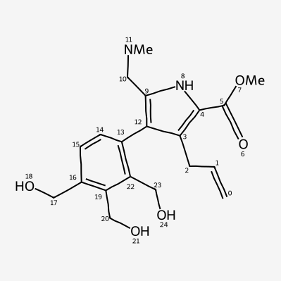 C=CCc1c(C(=O)OC)[nH]c(CNC)c1-c1ccc(CO)c(CO)c1CO